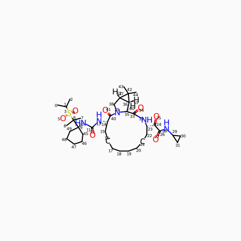 CC(C)S(=O)(=O)C(C)(C)C1(NC(=O)N[C@H]2CCCCCCCC[C@@H](C(=O)C(=O)NC3CC3)NC(=O)[C@@H]3[C@@H]4[C@H](CN3C2=O)C4(C)C)CCCCC1